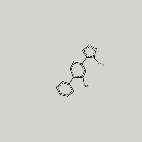 Cc1oncc1-c1ccc(-c2ccccc2)c(N)c1